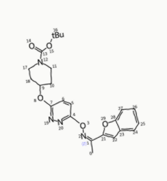 C/C(=N/Oc1ccc(OC2CCN(C(=O)OC(C)(C)C)CC2)nn1)c1cc2ccccc2o1